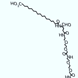 CCCCNC(=O)COCCOCCNC(=O)COCCOCCNC(=O)CC[C@@H](C=O)NC(=O)CCCCCCCCCCCCCCCCC(=O)O